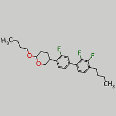 CCCCOC1CCC(c2ccc(-c3ccc(CCCC)c(F)c3F)cc2F)CO1